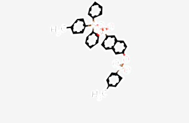 Cc1ccc(S(OS(=O)(=O)c2ccc3cc(OS(=O)(=O)c4ccc(C)cc4)ccc3c2)(c2ccccc2)c2ccccc2)cc1